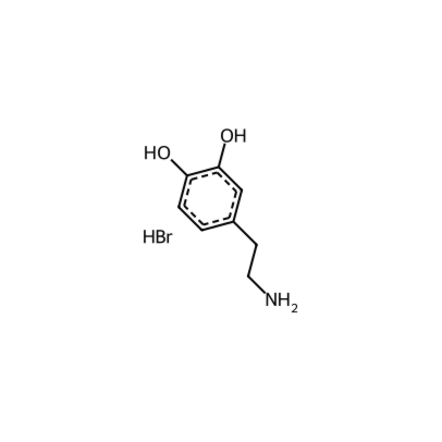 Br.NCCc1ccc(O)c(O)c1